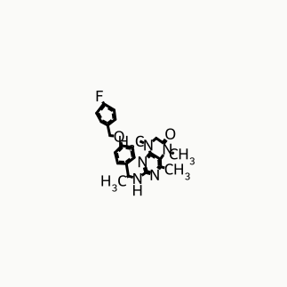 Cc1nc(NC(C)c2ccc(OCc3ccc(F)cc3)cc2)nc2c1N(C)C(=O)CN2C